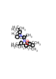 Cc1cc(N(c2cc3cc4c(cc3o2)C(C)(C)CCC4(C)C)c2ccc(C(C)(C)C)cc2-c2ccccc2)cc(N2c3ccc(C(C)(C)C)cc3C3(C)CCCCC23C)c1